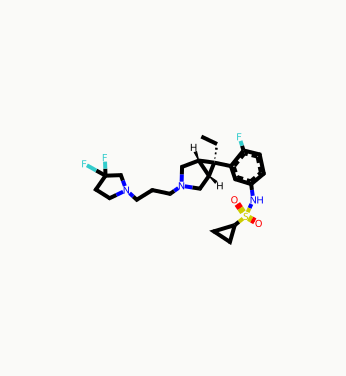 CC[C@]1(c2cc(NS(=O)(=O)C3CC3)ccc2F)[C@@H]2CN(CCCN3CCC(F)(F)C3)C[C@@H]21